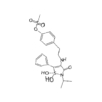 CC(C)N1C(=O)C(NCCc2ccc(OS(C)(=O)=O)cc2)=C(c2ccccc2)S1(O)O